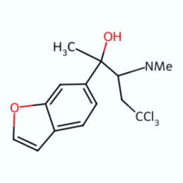 CNC(CC(Cl)(Cl)Cl)C(C)(O)c1ccc2ccoc2c1